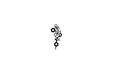 O=C(Nc1ccccc1[N+](=O)[O-])N1CCC[C@H]1c1nc(-c2ccc(F)cc2)cs1